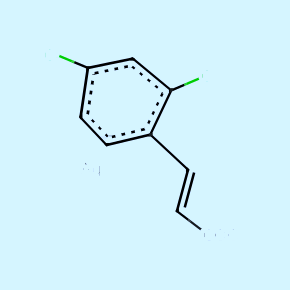 O=C([O-])C=Cc1ccc(Cl)cc1Cl.[Ag+]